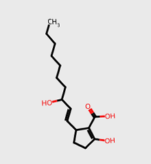 CCCCCCCC(O)C=CC1CCC(O)=C1C(=O)O